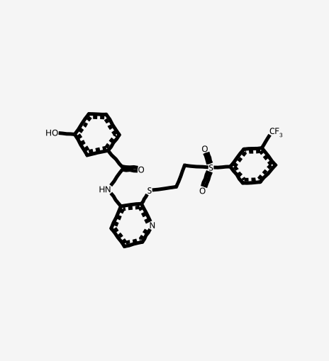 O=C(Nc1cccnc1SCCS(=O)(=O)c1cccc(C(F)(F)F)c1)c1cccc(O)c1